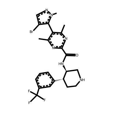 Cc1nc(C(=O)N[C@H]2CNCC[C@@H]2c2cccc(C(F)(F)F)c2)nc(C)c1-c1c(Br)cnn1C